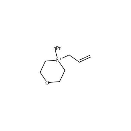 C=CC[N+]1(CCC)CCOCC1